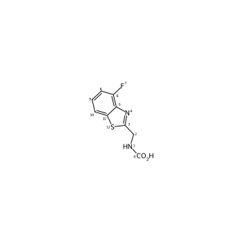 O=C(O)NCc1nc2c(F)cccc2s1